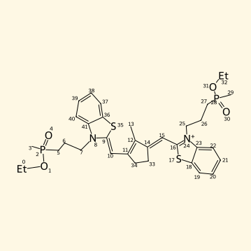 CCOP(C)(=O)CCCN1/C(=C/C2=C(C)C(=C/c3sc4ccccc4[n+]3CCCP(C)(=O)OCC)/CC2)Sc2ccccc21